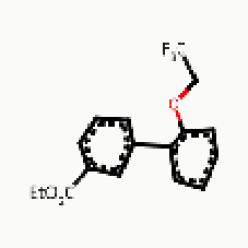 CCOC(=O)c1cccc(-c2ccccc2OCC(F)(F)F)c1